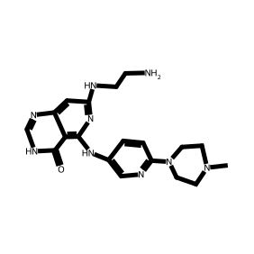 CN1CCN(c2ccc(Nc3nc(NCCN)cc4nc[nH]c(=O)c34)cn2)CC1